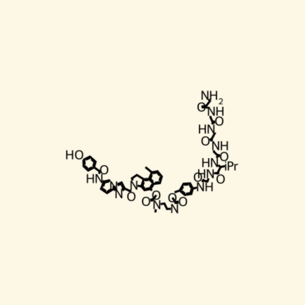 Cc1cccc2c(OC(=O)N(C)CCN(C)C(=O)OCc3ccc(NC(=O)CNC(=O)C(NC(=O)CNC(=O)CNC(=O)CNC(=O)CN)C(C)C)cc3)cc3c(c12)CCN3C(=O)c1cn2cc(NC(=O)c3ccc(O)cc3)ccc2n1